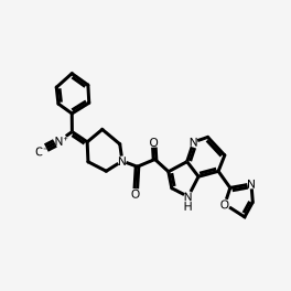 [C-]#[N+]C(=C1CCN(C(=O)C(=O)c2c[nH]c3c(-c4ncco4)ccnc23)CC1)c1ccccc1